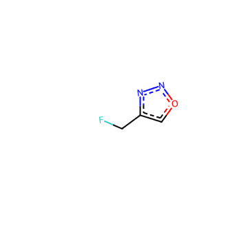 FCc1conn1